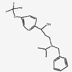 CC(C)N(CCC(O)c1ccc(OC(F)(F)F)cc1)Cc1ccccc1